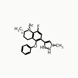 CC(=O)N1c2c(F)cc(C3=CN(C)NN3)c(Oc3ccccc3)c2CC[C@@H]1C